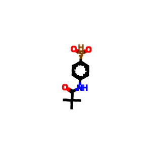 CC(C)(C)C(=O)Nc1ccc([SH](=O)=O)cc1